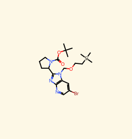 CC(C)(C)OC(=O)N1CCCC1c1nc2ncc(Br)cc2n1COCC[Si](C)(C)C